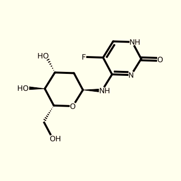 O=c1nc(N[C@@H]2C[C@@H](O)[C@H](O)[C@@H](CO)O2)c(F)c[nH]1